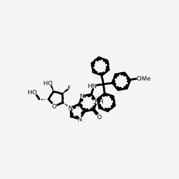 COc1ccc(C(Nc2nc3c(ncn3[C@@H]3O[C@H](CO)[C@@H](O)[C@H]3F)c(=O)[nH]2)(c2ccccc2)c2ccccc2)cc1